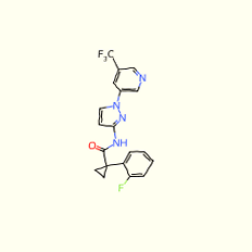 O=C(Nc1ccn(-c2cncc(C(F)(F)F)c2)n1)C1(c2ccccc2F)CC1